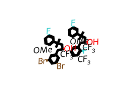 COc1ccc(F)cc1C(C)(C)CC(O)(Cc1cc(Br)cc(Br)c1)C(F)(F)F.COc1ccc(F)cc1C(C)(C)CC(O)(Cc1cccc(C(F)(F)F)c1F)C(F)(F)F